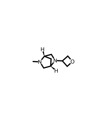 CN1C[C@@H]2C[C@H]1CN2C1COC1